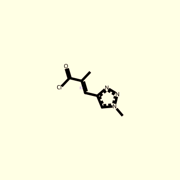 C/C(=C\c1cn(C)nn1)C(=O)Cl